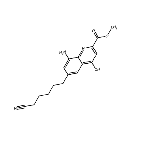 COC(=O)c1cc(O)c2cc(CCCCCC#N)cc(N)c2n1